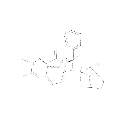 CC(=O)N(C)CCC(=O)N[C@@H](CCN1[C@@H]2CC[C@H]1C[C@H](n1c(C)nc3c(F)cccc31)C2)c1ccccc1